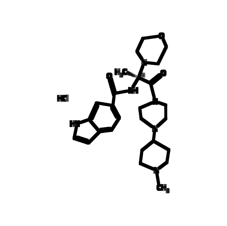 CN1CCC(N2CCN(C(=O)[C@@](C)(NC(=O)c3ccc4cc[nH]c4c3)N3CCOCC3)CC2)CC1.Cl